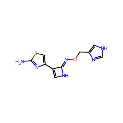 Nc1nc(C2=CNC2=NOCc2c[nH]cn2)cs1